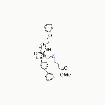 COC(=O)CCC/C=C\C[C@H]1[C@H](NC(=O)CCOc2ccccc2)[C@@H]2C[C@@]1(c1ccc(-c3ccccc3)cc1)CO2